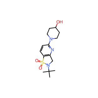 CC(C)(C)N1Cc2nc(N3CCC(O)CC3)ccc2S1(=O)=O